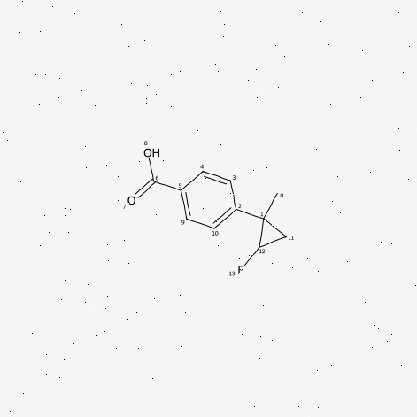 CC1(c2ccc(C(=O)O)cc2)CC1F